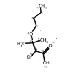 CCCCOC(C)(C)C(Br)C(=O)O